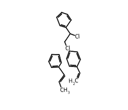 C=Cc1ccccc1.CC=Cc1ccccc1.ClCC(Cl)c1ccccc1